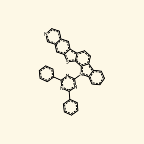 c1ccc(-c2nc(-c3ccccc3)nc(-n3c4ccccc4c4ccc5c6cc7ccncc7cc6sc5c43)n2)cc1